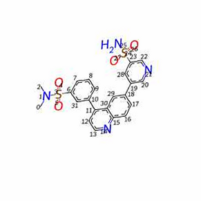 CN(C)S(=O)(=O)c1cccc(-c2ccnc3ccc(-c4cncc(S(N)(=O)=O)c4)cc23)c1